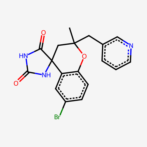 CC1(Cc2cccnc2)CC2(NC(=O)NC2=O)c2cc(Br)ccc2O1